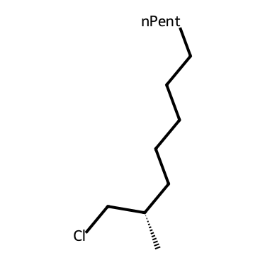 CCCCCCCCCC[C@H](C)CCl